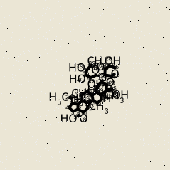 C=C(C)[C@@H]1CC[C@]2(C(=O)O)CC[C@]3(C)C(CC[C@@H]4[C@@]5(C)CC[C@H](O[C@@H]6OC[C@H](O)[C@H](O)[C@H]6O[C@@H]6O[C@@H](C)[C@H](O)[C@@H](O)[C@H]6O)[C@@](C)(CO)[C@@H]5CC[C@]43C)[C@@H]12